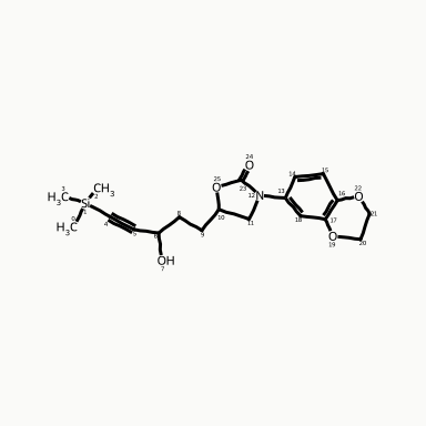 C[Si](C)(C)C#CC(O)CCC1CN(c2ccc3c(c2)OCCO3)C(=O)O1